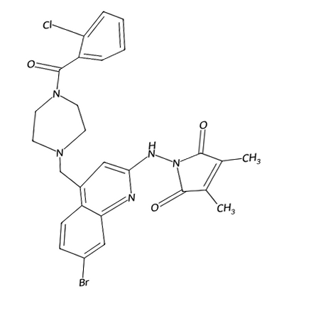 CC1=C(C)C(=O)N(Nc2cc(CN3CCN(C(=O)c4ccccc4Cl)CC3)c3ccc(Br)cc3n2)C1=O